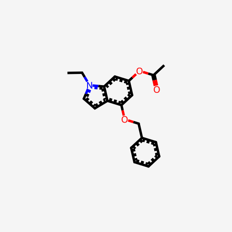 CCn1ccc2c(OCc3ccccc3)cc(OC(C)=O)cc21